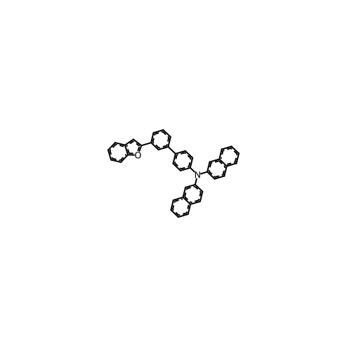 c1cc(-c2ccc(N(c3ccc4ccccc4c3)c3ccc4ccccc4c3)cc2)cc(-c2cc3ccccc3o2)c1